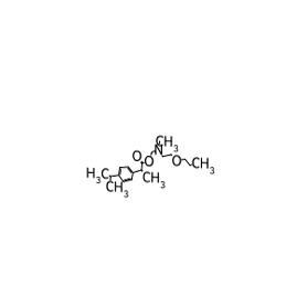 CCCOCCN(C)COC(=O)[C@@H](C)c1ccc(C(C)C)cc1